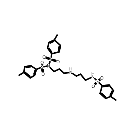 Cc1ccc(S(=O)(=O)NCCCNCCCN(S(=O)(=O)c2ccc(C)cc2)S(=O)(=O)c2ccc(C)cc2)cc1